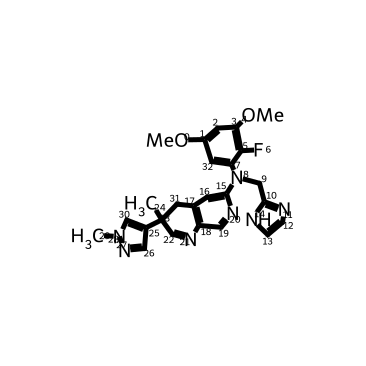 COc1cc(OC)c(F)c(N(Cc2ncc[nH]2)c2cc3c(cn2)N=CC(C)(c2cnn(C)c2)C3)c1